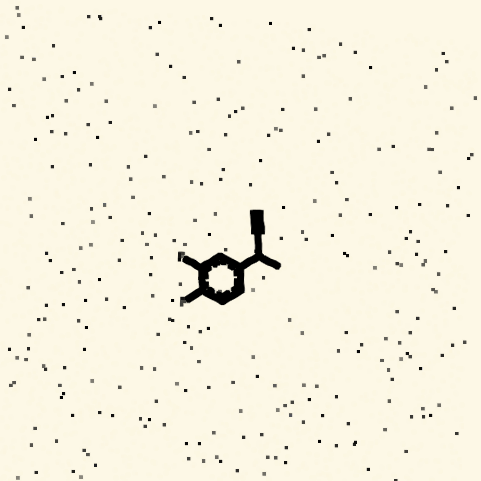 C#C[C](C)c1ccc(F)c(F)c1